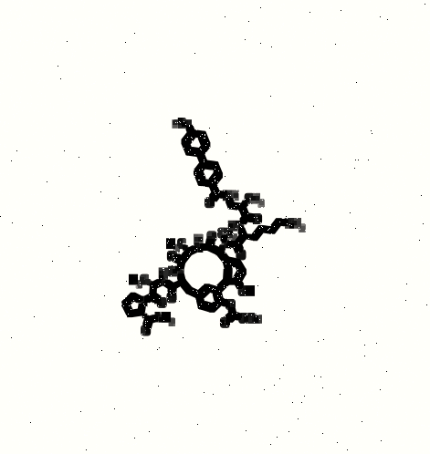 CCCCc1ccc(-c2ccc(C(=O)NC[C@@H](C)C(=O)N[C@@H](CCCCN)C(=O)N(C)[C@@H]3C(=O)N[C@@H](C)C(=O)N[C@H](C(=O)N[C@@H](C)C(=O)N4CCC[C@H]4C(N)=O)Cc4ccc(OC(=O)OCC(C)C)c(c4)-c4cc3ccc4O)cc2)cc1